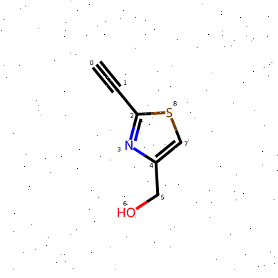 C#Cc1nc(CO)cs1